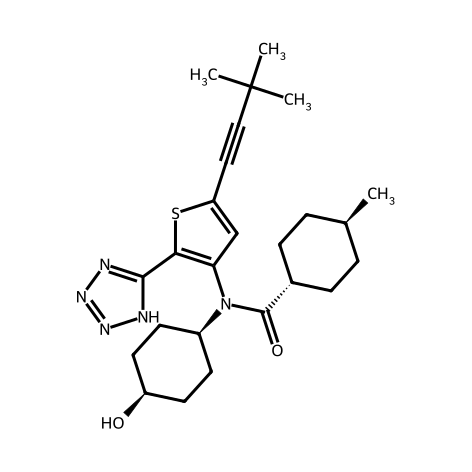 CC(C)(C)C#Cc1cc(N(C(=O)[C@H]2CC[C@H](C)CC2)[C@H]2CC[C@@H](O)CC2)c(-c2nnn[nH]2)s1